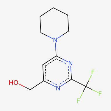 OCc1cc(N2CCCCC2)nc(C(F)(F)F)n1